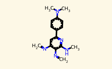 C=Nc1cc(-c2ccc(N(C)C)cc2)nc(NC)c1N=C